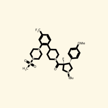 COc1ccc([C@@H]2CN(C(C)(C)C)C[C@@]2(F)C(=O)N2CCC(c3ccc(C(F)(F)F)cc3N3CCN(S(C)(=O)=O)CC3)CC2)cc1